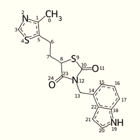 Cc1ncsc1CCC1SC(=O)N(Cc2cccc3[nH]ccc23)C1=O